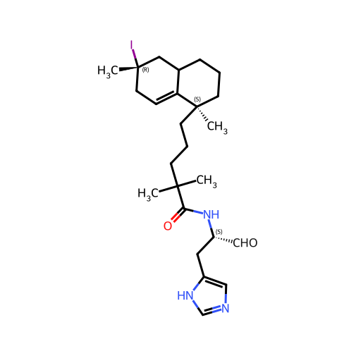 CC(C)(CCC[C@]1(C)CCCC2C[C@@](C)(I)CC=C21)C(=O)N[C@H](C=O)Cc1cnc[nH]1